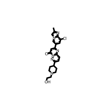 Cc1cn2cc(-c3cc(=O)n4nc(C5CCN(CCO)CC5)ccc4n3)cc(Cl)c2n1